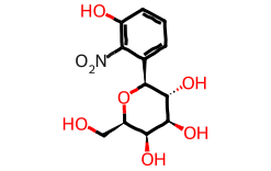 O=[N+]([O-])c1c(O)cccc1[C@@H]1O[C@H](CO)[C@H](O)[C@H](O)[C@H]1O